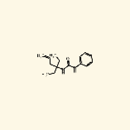 C=CCC(CC)(CC)NC(=O)Nc1ccccc1